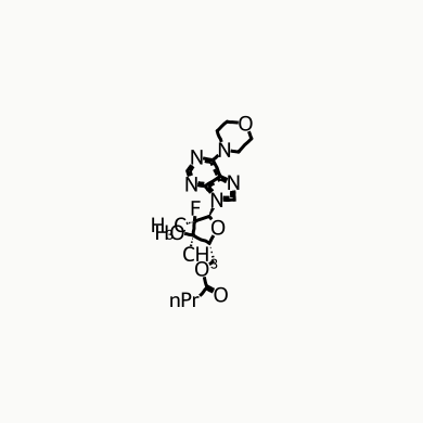 CCCC(=O)OC[C@H]1O[C@H](n2cnc3c(N4CCOCC4)ncnc32)[C@](C)(F)[C@]1(C)O